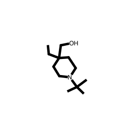 CCC1(CO)CCN(C(C)(C)C)CC1